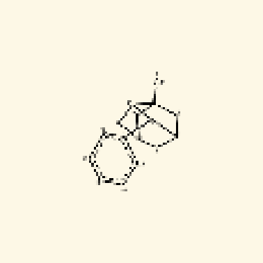 CC(=O)C12CC3CC(C1)C(c1ccccc1)C2C3